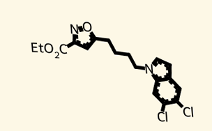 CCOC(=O)c1cc(CCCCn2ccc3cc(Cl)c(Cl)cc32)on1